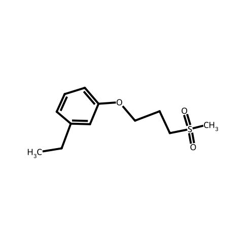 CCc1cccc(OCCCS(C)(=O)=O)c1